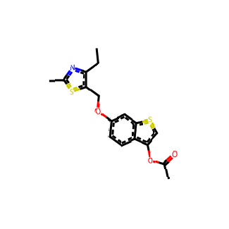 CCc1nc(C)sc1COc1ccc2c(OC(C)=O)csc2c1